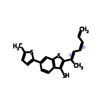 C=C/C=C\C=C(/C)c1sc2cc(-c3ccc(C)s3)ccc2c1S